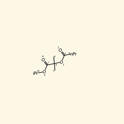 CCCC(=O)OC(C)(C)C(=O)OC(C)C